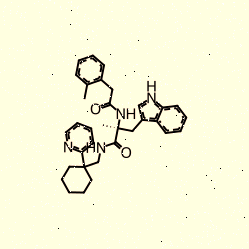 Cc1ccccc1CC(=O)N[C@@](C)(Cc1c[nH]c2ccccc12)C(=O)NCC1(c2ccccn2)CCCCC1